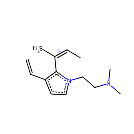 B/C(=C/C)c1c(C=C)ccn1CCN(C)C